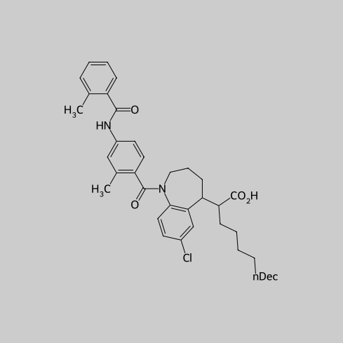 CCCCCCCCCCCCCCC(C(=O)O)C1CCCN(C(=O)c2ccc(NC(=O)c3ccccc3C)cc2C)c2ccc(Cl)cc21